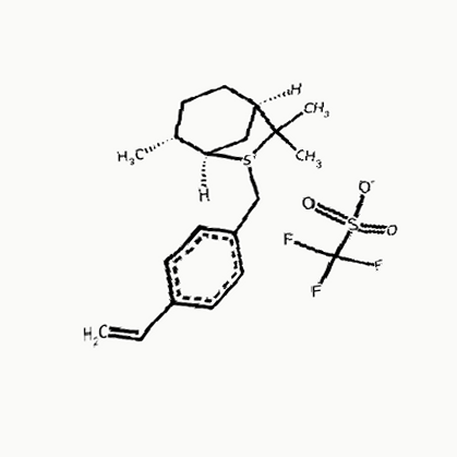 C=Cc1ccc(C[S+]2[C@@H]3C[C@@H](CC[C@H]3C)C2(C)C)cc1.O=S(=O)([O-])C(F)(F)F